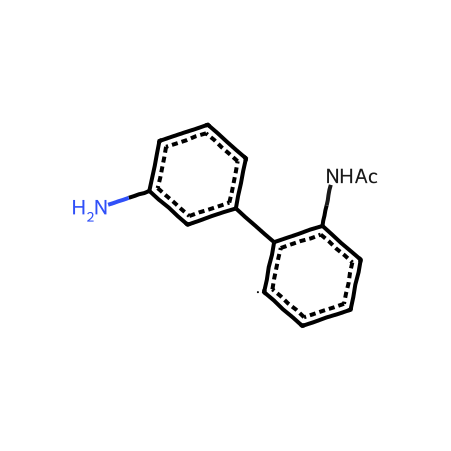 CC(=O)Nc1ccc[c]c1-c1cccc(N)c1